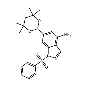 CC1(C)CC(C)(C)OB(c2cc(N)c3cnn(S(=O)(=O)c4ccccc4)c3c2)O1